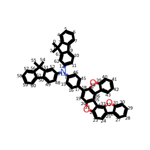 CC1(C)c2ccccc2-c2ccc(N(c3ccc(-c4cc5oc6ccc7c8ccccc8oc7c6c5c5c4oc4ccccc45)cc3)c3ccc4c(c3)C(C)(C)c3ccccc3-4)cc21